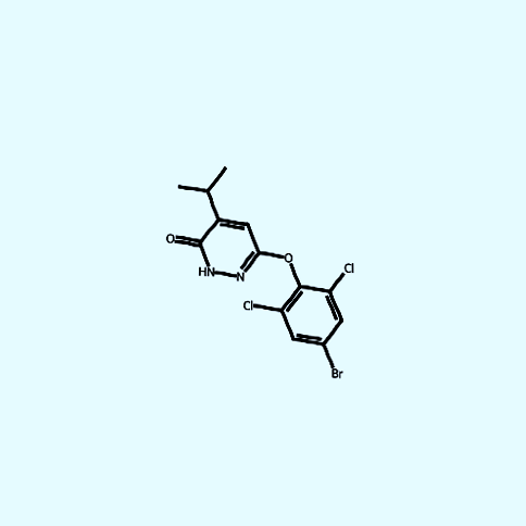 CC(C)c1cc(Oc2c(Cl)cc(Br)cc2Cl)n[nH]c1=O